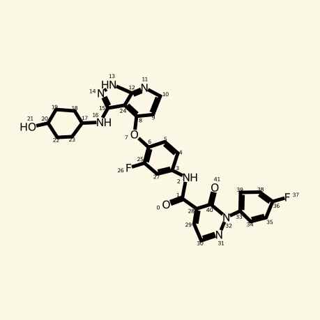 O=C(Nc1ccc(Oc2ccnc3[nH]nc(NC4CCC(O)CC4)c23)c(F)c1)c1ccnn(-c2ccc(F)cc2)c1=O